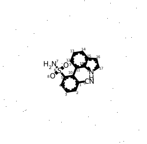 N#Cc1cccc(S(N)(=O)=O)c1-c1cccc2cc[nH]c12